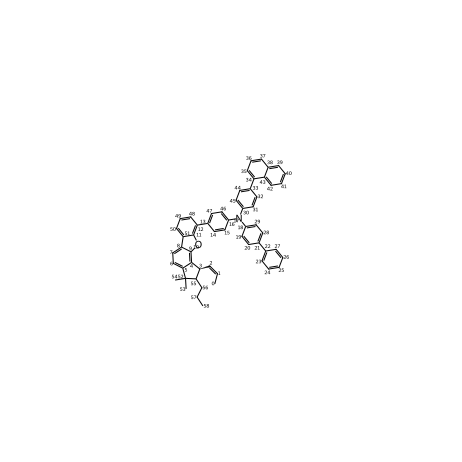 C/C=C\[C@@H]1c2c(ccc3c2oc2c(-c4ccc(N(c5ccc(-c6ccccc6)cc5)c5ccc(-c6cccc7ccccc67)cc5)cc4)cccc23)C(C)(C)C1CCC